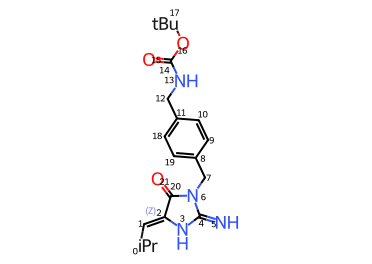 CC(C)/C=C1\NC(=N)N(Cc2ccc(CNC(=O)OC(C)(C)C)cc2)C1=O